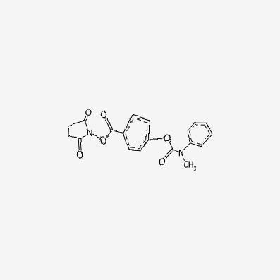 CN(C(=O)Oc1ccc(C(=O)ON2C(=O)CCC2=O)cc1)c1ccccc1